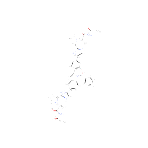 COC(=O)NC(=O)[C@H](C(C)C)N1CCCC1c1ncc(-c2ccc3c(c2)O[C@@H](c2ccccc2)n2c-3cc3cc(-c4cnc(C5CCCN5[C@H](C(=O)NC(=O)OC)C(C)C)[nH]4)ccc32)[nH]1